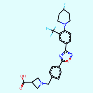 O=C(O)C1CN(Cc2ccc(-c3nc(-c4ccc(N5CCC(F)CC5)c(C(F)(F)F)c4)no3)cc2)C1